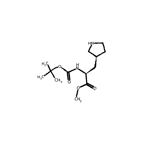 COC(=O)[C@H](C[C@@H]1CCNC1)NC(=O)OC(C)(C)C